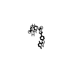 Cc1ccc(C)c(Oc2ccc(C3CN(C(=O)N4CC[C@@H]5OCC(=O)N[C@@H]5C4)C3)cc2)n1